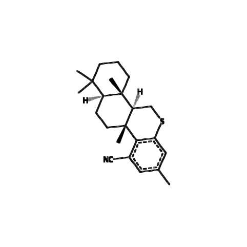 Cc1cc(C#N)c2c(c1)SC[C@@H]1[C@@]3(C)CCCC(C)(C)[C@@H]3CC[C@@]21C